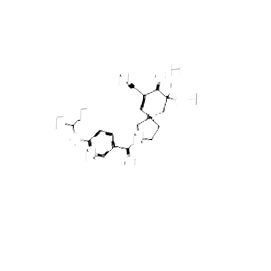 CC1(C)C[C@@]2(C=C(C#N)C1=O)CCN(C(=O)c1ccc(OC(F)F)nc1)C2